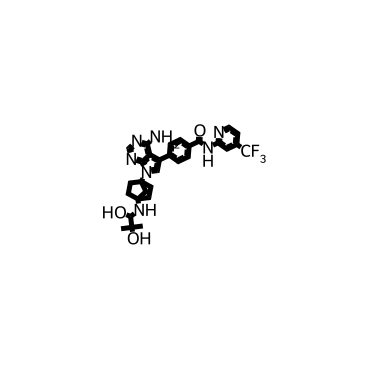 CC(C)(O)C(O)NC12CCC(n3cc(-c4ccc(C(=O)Nc5cc(C(F)(F)F)ccn5)cc4)c4c(N)ncnc43)(CC1)C2